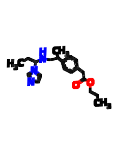 CCCOC(=O)Cc1ccc(C(C)CNC(CC)n2ccnc2)cc1